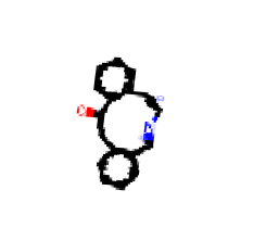 O=C1Cc2ccccc2/C=N/C=C\c2ccccc21